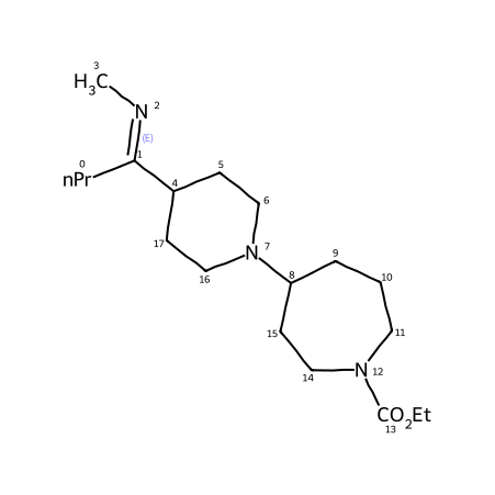 CCC/C(=N\C)C1CCN(C2CCCN(C(=O)OCC)CC2)CC1